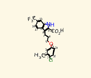 Cc1cc(OCCCc2c(C(=O)O)[nH]c3cc(C(F)(F)F)ccc23)ccc1Cl